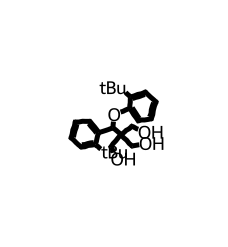 CC(C)(C)c1ccccc1OC(c1ccccc1C(C)(C)C)C(CO)(CO)CO